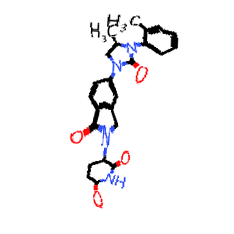 Cc1ccccc1N1C(=O)N(c2ccc3c(c2)CN(C2CCC(=O)NC2=O)C3=O)C[C@H]1C